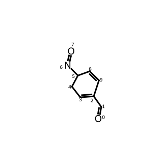 O=CC1=CCC(N=O)C=C1